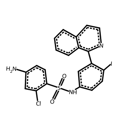 Nc1ccc(S(=O)(=O)Nc2ccc(I)c(-c3nccc4ccccc34)c2)c(Cl)c1